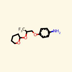 Nc1ccc(OCC(OC2CCCCO2)C(F)(F)F)cc1